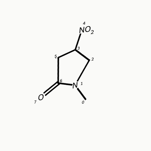 CN1CC([N+](=O)[O-])[CH]C1=O